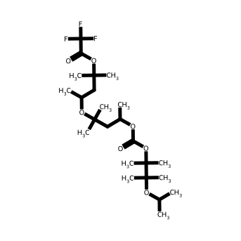 CC(C)OC(C)(C)C(C)(C)OC(=O)OC(C)CC(C)(C)OC(C)CC(C)(C)OC(=O)C(F)(F)F